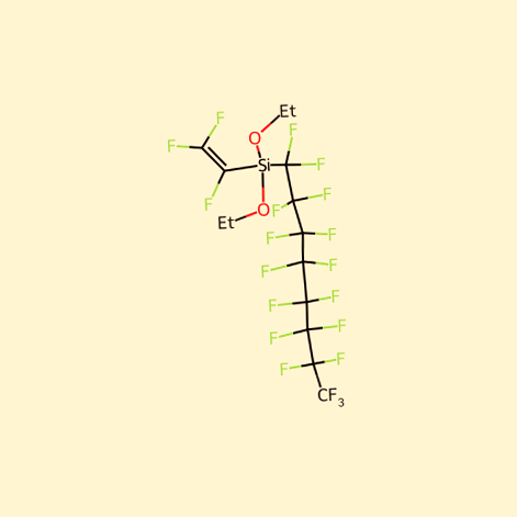 CCO[Si](OCC)(C(F)=C(F)F)C(F)(F)C(F)(F)C(F)(F)C(F)(F)C(F)(F)C(F)(F)C(F)(F)C(F)(F)F